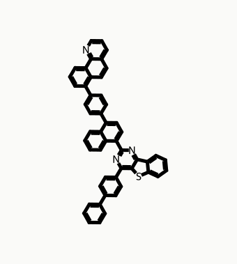 c1ccc(-c2ccc(-c3nc(-c4ccc(-c5ccc(-c6cccc7c6ccc6cccnc67)cc5)c5ccccc45)nc4c3sc3ccccc34)cc2)cc1